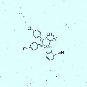 CN1C(=O)[C@H](Cc2ccccc2C#N)O[C@@H](c2ccc(Cl)cc2)[C@H]1c1ccc(Cl)cc1